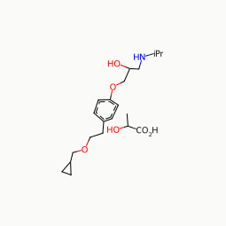 CC(C)NCC(O)COc1ccc(CCOCC2CC2)cc1.CC(O)C(=O)O